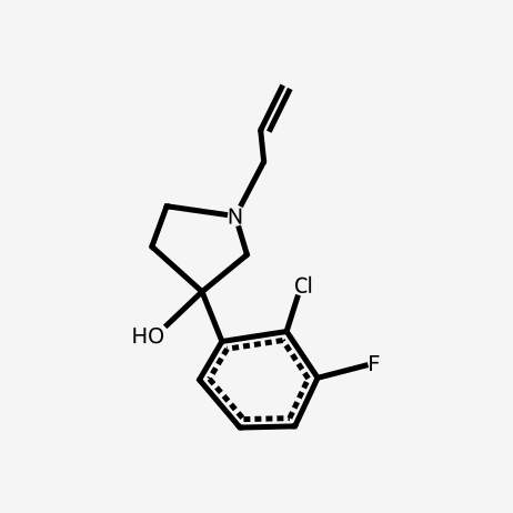 C=CCN1CCC(O)(c2cccc(F)c2Cl)C1